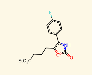 CCOC(=O)CCCc1oc(=O)[nH]c1-c1ccc(F)cc1